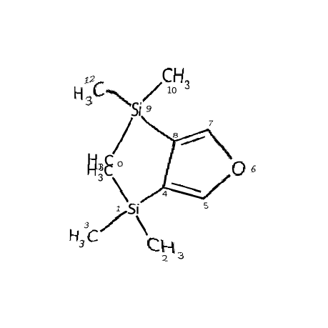 C[Si](C)(C)c1cocc1[Si](C)(C)C